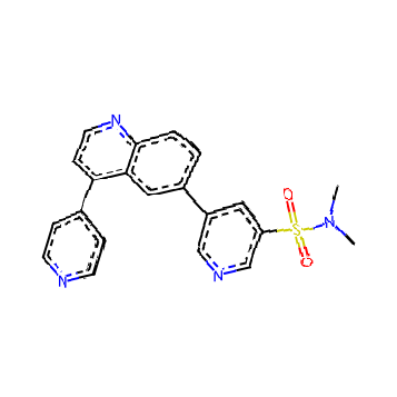 CN(C)S(=O)(=O)c1cncc(-c2ccc3nccc(-c4ccncc4)c3c2)c1